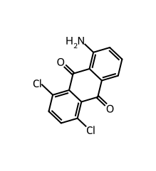 Nc1cccc2c1C(=O)c1c(Cl)ccc(Cl)c1C2=O